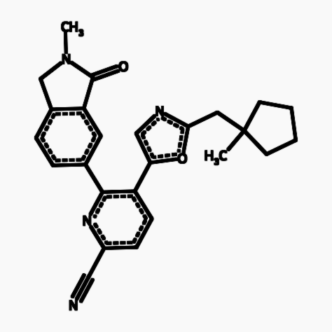 CN1Cc2ccc(-c3nc(C#N)ccc3-c3cnc(CC4(C)CCCC4)o3)cc2C1=O